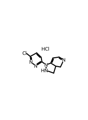 Cl.Clc1ccc(N2NCC3CN=CC=C32)nn1